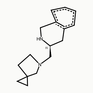 c1ccc2c(c1)CN[C@H](CN1CCC3(CC3)C1)C2